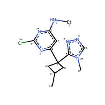 CCNc1cc(C2(c3nncn3C)CC(C)C2)nc(Cl)n1